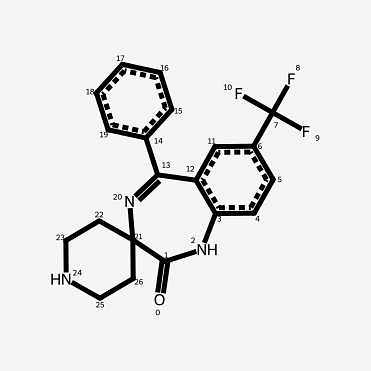 O=C1Nc2ccc(C(F)(F)F)cc2C(c2ccccc2)=NC12CCNCC2